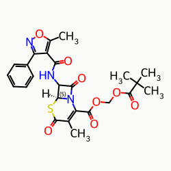 CC1=C(C(=O)OCOC(=O)C(C)(C)C)N2C(=O)C(NC(=O)c3c(-c4ccccc4)noc3C)[C@@H]2SC1=O